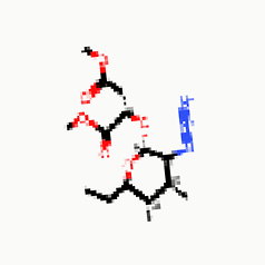 CCC1O[C@H](O[C@@H](CC(=O)OC)C(=O)OC)C(N=[N+]=[N-])[C@@H](C)[C@@H]1C